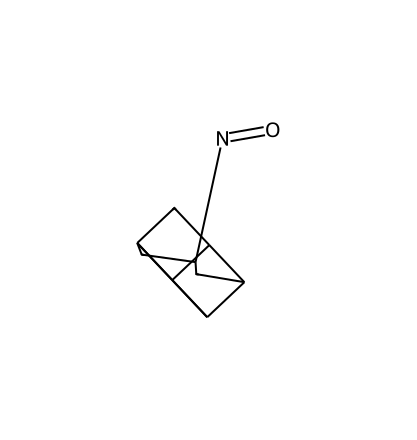 O=NC1CC2C3CC4(C1)C2C34